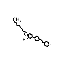 CCCCCCCCCOc1ccc(-c2ccc(CCC3CC[CH]CC3)cc2)cc1Br